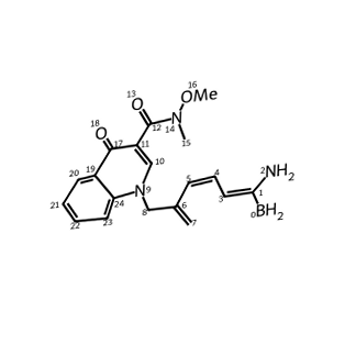 B/C(N)=C/C=C\C(=C)Cn1cc(C(=O)N(C)OC)c(=O)c2ccccc21